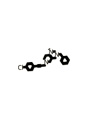 CN1CN(Cc2ccccc2)CC2=C1CCN(CC#Cc1ccc(Cl)cc1)C2